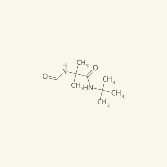 CC(C)(C)NC(=O)C(C)(C)NC=O